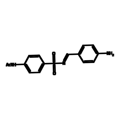 CC(=O)Nc1ccc(S(=O)(=O)N=Cc2ccc(N)cc2)cc1